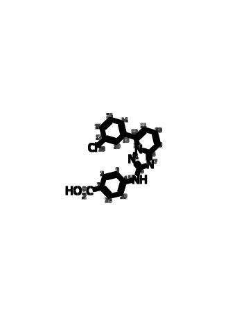 O=C(O)c1ccc(Nc2nc3cccc(-c4cccc(Cl)c4)n3n2)cc1